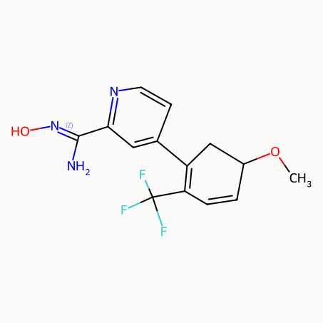 COC1C=CC(C(F)(F)F)=C(c2ccnc(/C(N)=N/O)c2)C1